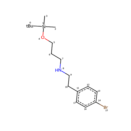 CC(C)(C)[Si](C)(C)OCCCNCCc1ccc(Br)cc1